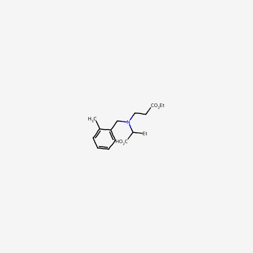 CCOC(=O)CCN(Cc1ccccc1C)C(CC)C(=O)O